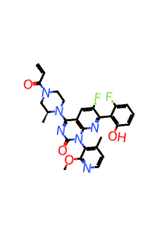 C=CC(=O)N1CCN(c2nc(=O)n(-c3c(C)ccnc3OC)c3nc(-c4c(O)cccc4F)c(F)cc23)[C@@H](C)C1